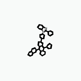 C1=C2C(c3ccc4ccccc4c3)=c3ccc(-c4ccc(-n5c(-c6ccccc6)nc6ccccc65)cc4)cc3=C(c3ccccc3)C2CCC1